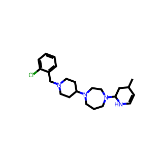 CC1C=CNC(N2CCCN(C3CCN(Cc4ccccc4Cl)CC3)CC2)C1